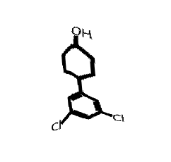 OC1CC[C](c2cc(Cl)cc(Cl)c2)CC1